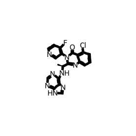 C[C@H](Nc1ncnc2[nH]cnc12)c1nc2cccc(Cl)c2c(=O)n1-c1cnccc1F